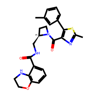 Cc1cccc(-c2sc(C)nc2C(=O)N2CC[C@@H]2CNC(=O)c2cccc3c2NCCO3)c1